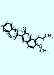 CCCc1c(OC)ccc2cc(C(=O)Nc3cccnc3Br)c(=O)oc12